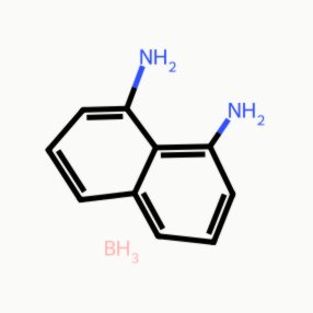 B.Nc1cccc2cccc(N)c12